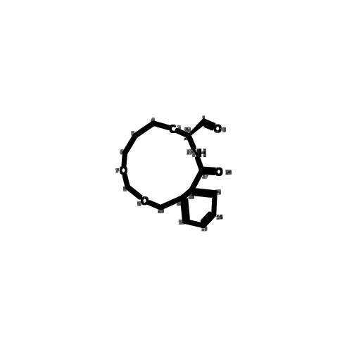 O=C[C@@H]1CCCCOCOCc2ccccc2C(=O)N1